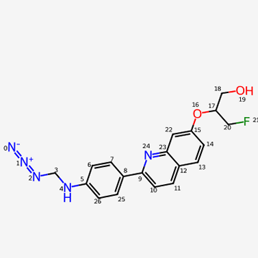 [N-]=[N+]=NCNc1ccc(-c2ccc3ccc(OC(CO)CF)cc3n2)cc1